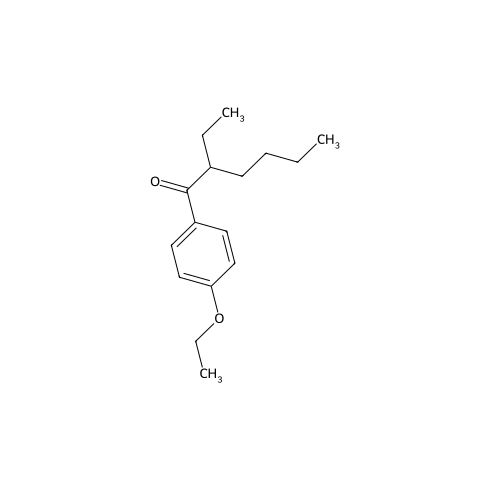 CCCCC(CC)C(=O)c1ccc(OCC)cc1